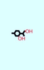 CC1CCC(C(C)CO)C(O)C1